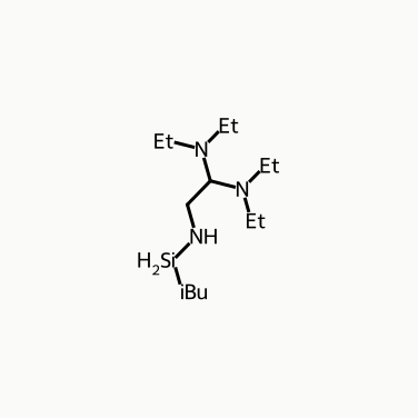 CCC(C)[SiH2]NCC(N(CC)CC)N(CC)CC